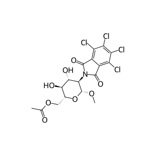 CO[C@@H]1O[C@H](COC(C)=O)[C@@H](O)[C@H](O)[C@H]1N1C(=O)c2c(Cl)c(Cl)c(Cl)c(Cl)c2C1=O